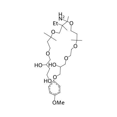 CCC(C)(COC(C)(C)CCOCC(O)CCO)C(C)(N)OCCC(C)(C)OCCOCC(O)COc1ccc(OC)cc1